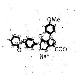 COc1ccc(-n2nc(C(=O)[O-])c3c2C(=O)N(c2ccc(N4CCCCC4=O)cc2)CC3)cc1.[Na+]